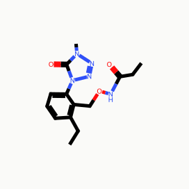 CCC(=O)NOCc1c(CC)cccc1-n1nnn(C)c1=O